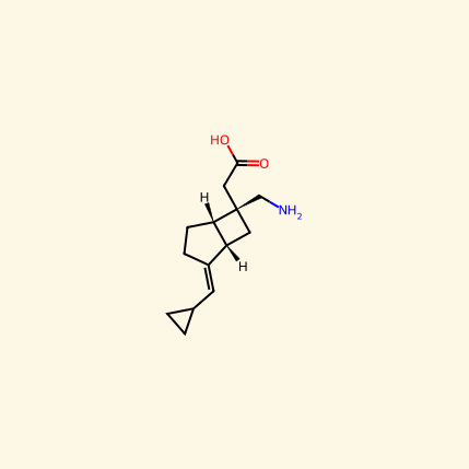 NC[C@@]1(CC(=O)O)C[C@@H]2C(=CC3CC3)CC[C@@H]21